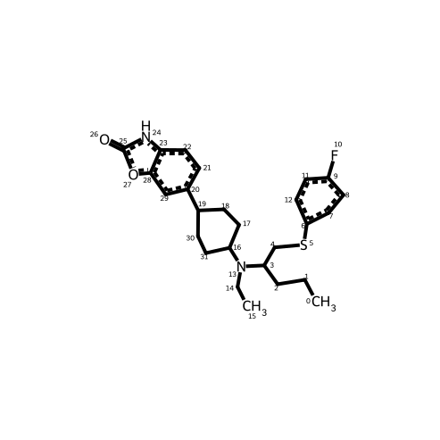 CCCC(CSc1ccc(F)cc1)N(CC)C1CCC(c2ccc3[nH]c(=O)oc3c2)CC1